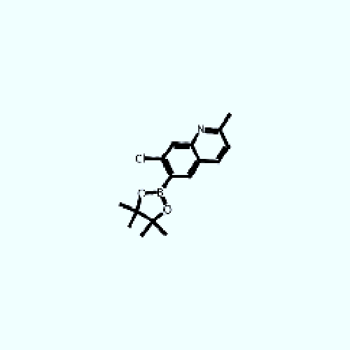 Cc1ccc2cc(B3OC(C)(C)C(C)(C)O3)c(Cl)cc2n1